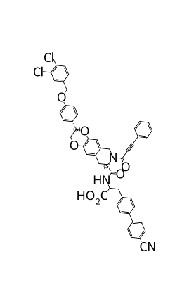 N#Cc1ccc(-c2ccc(CC(NC(=O)[C@@H]3Cc4cc5c(cc4CN3C(=O)C#Cc3ccccc3)O[C@@H](c3ccc(OCc4ccc(Cl)c(Cl)c4)cc3)CO5)C(=O)O)cc2)cc1